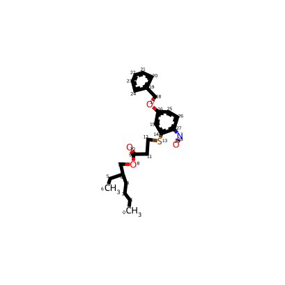 CCCCC(CC)COC(=O)CCSc1cc(OCc2ccccc2)ccc1N=O